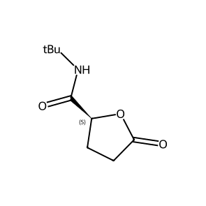 CC(C)(C)NC(=O)[C@@H]1CCC(=O)O1